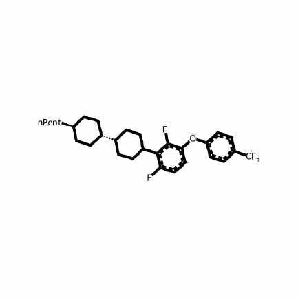 CCCCC[C@H]1CC[C@H](C2CCC(c3c(F)c[c]c(Oc4ccc(C(F)(F)F)cc4)c3F)CC2)CC1